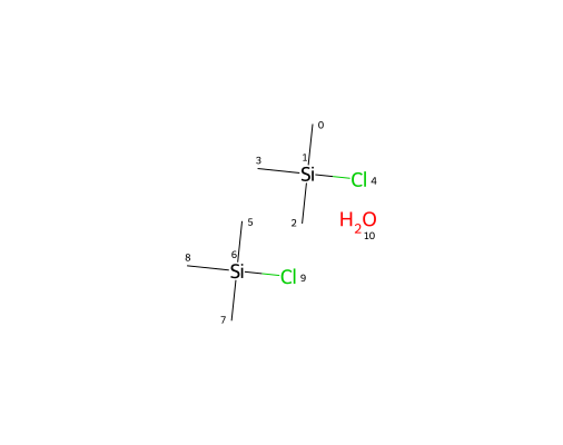 C[Si](C)(C)Cl.C[Si](C)(C)Cl.O